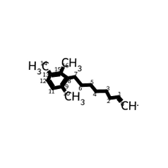 [CH]=CCCCCCCc1c(C)ccc(C)c1C